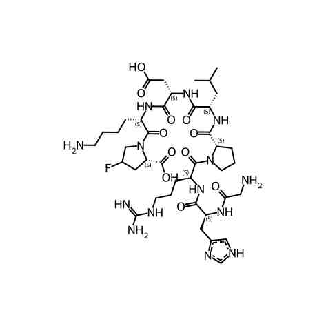 CC(C)C[C@H](NC(=O)[C@@H]1CCCN1C(=O)[C@H](CCCNC(=N)N)NC(=O)[C@H](Cc1c[nH]cn1)NC(=O)CN)C(=O)N[C@@H](CC(=O)O)C(=O)N[C@@H](CCCCN)C(=O)N1CC(F)C[C@H]1C(=O)O